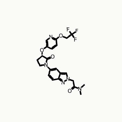 CN(C)C(=O)Cn1cc2cc(N3CC[C@@H](Oc4ccc(OCC(F)(F)F)nc4)C3=O)ccc2n1